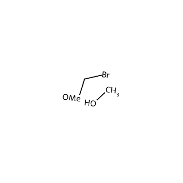 CO.COCBr